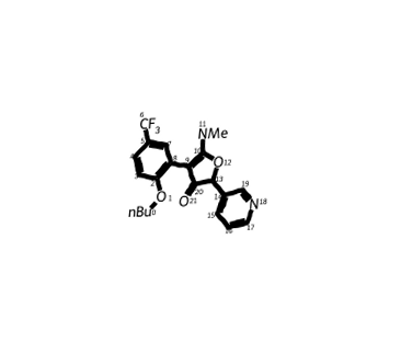 CCCCOc1ccc(C(F)(F)F)cc1C1=C(NC)OC(c2cccnc2)C1=O